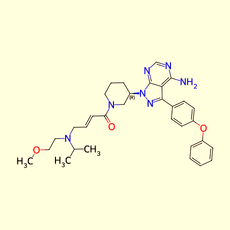 COCCN(CC=CC(=O)N1CCC[C@@H](n2nc(-c3ccc(Oc4ccccc4)cc3)c3c(N)ncnc32)C1)C(C)C